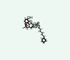 CN1CCC23c4c5ccc(O)c4OC2C(OP(=O)(O)OCCCCCCc2ccccc2)C=CC3C1C5